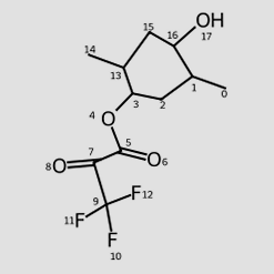 CC1CC(OC(=O)C(=O)C(F)(F)F)C(C)CC1O